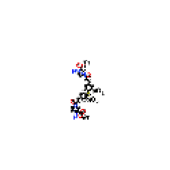 CC(C)OC(=O)C1CN(C(=O)/C=C/c2ccc(Sc3ccc(/C=C/C(=O)N4CCNC(C(=O)OC(C)C)C4)cc3[N+](=O)[O-])c([N+](=O)[O-])c2)CCN1